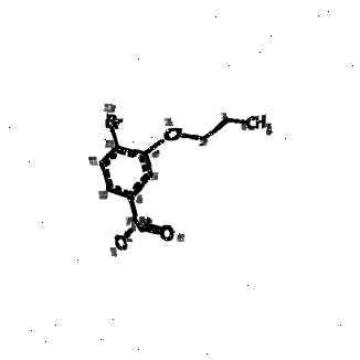 CCCOc1cc([N+](=O)[O-])ccc1Br